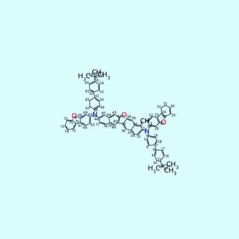 Cc1c(N(c2ccc(C3=CCC(C(C)(C)C)C=C3)cc2)c2ccc3c4c(oc3c2)C=CCC4)ccc2cc3c(cc12)oc1cc2cc(N(C4=CC=C(c5ccc(C(C)(C)C)cc5)CC4)c4ccc5c(c4)oc4ccccc45)ccc2cc13